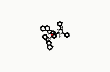 C1=CCC2C=c3c(n(-c4ccc(C5=NC(c6ccccc6)NC(c6ccccc6)N5)cc4)c4c(N5c6ccccc6C6CCC7=C(CCC=C7)C65)cccc34)=CC2=C1